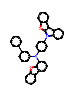 c1ccc(-c2cccc(N(c3ccc(-n4c5ccccc5c5c6ccccc6oc54)cc3)c3cccc4c3oc3ccccc34)c2)cc1